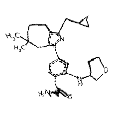 CC1(C)CCc2c(CC3CC3)nn(-c3ccc(C(N)=O)c(NC4CCOC4)c3)c2C1